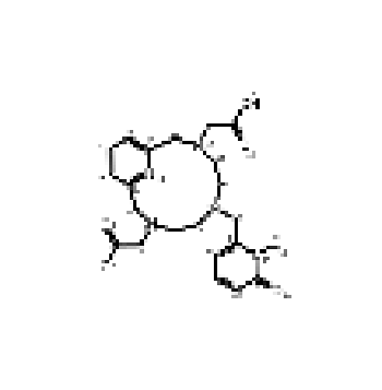 O=C(O)CN1CCN(Cc2cccc(=O)n2O)CCN(CC(=O)O)Cc2cccc(n2)C1